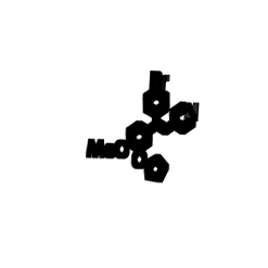 COc1ccc(/C(=C/c2ccncc2)c2ccc(Br)cc2)cc1OC1CCCC1